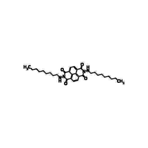 CCCCCCCCCNN1C(=O)c2ccc3c4c(ccc(c24)C1=O)C(=O)N(NCCCCCCCCC)C3=O